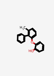 Cc1cccc(Oc2ccccc2O)c1-c1ccccc1